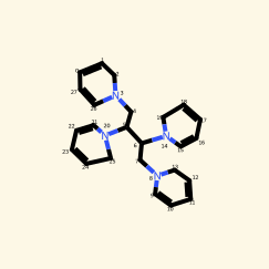 C1=CCN(CC(C(CN2C=CC=CC2)N2C=CC=CC2)N2C=CC=CC2)C=C1